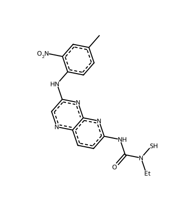 CCN(S)C(=O)Nc1ccc2ncc(Nc3ccc(C)cc3[N+](=O)[O-])nc2n1